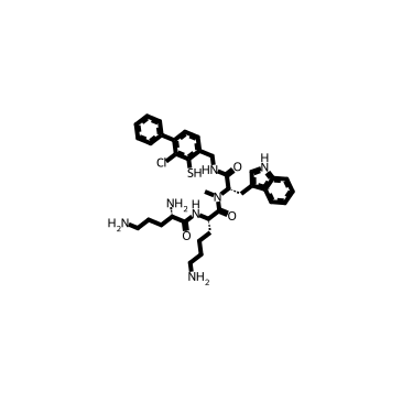 CN(C(=O)[C@H](CCCCN)NC(=O)[C@@H](N)CCCN)[C@@H](Cc1c[nH]c2ccccc12)C(=O)NCc1ccc(-c2ccccc2)c(Cl)c1S